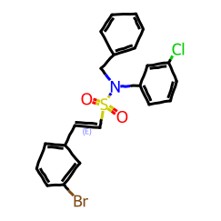 O=S(=O)(/C=C/c1cccc(Br)c1)N(Cc1ccccc1)c1cccc(Cl)c1